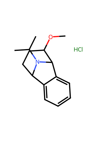 COC1CCC2c3ccccc3C1N2C(C)C.Cl